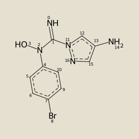 N=C(N(O)c1ccc(Br)cc1)n1cc(N)cn1